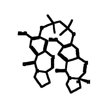 COc1cc2c(cc1OC(C)(C)CC(C)(C)Oc1cc3c(cc1OC)C(=O)N1CCC[C@H]1C=N3)N=CC1CCCN1C2=O